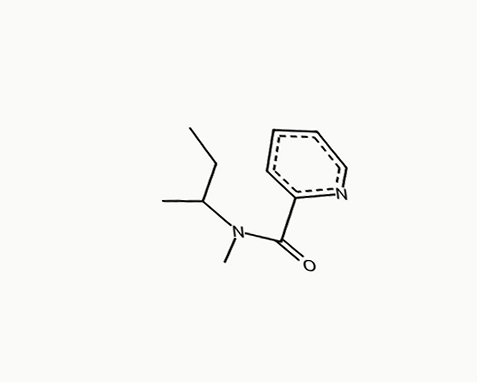 CCC(C)N(C)C(=O)c1ccccn1